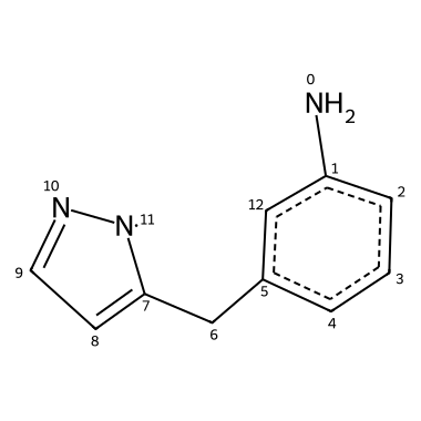 Nc1cccc(CC2=CC=N[N]2)c1